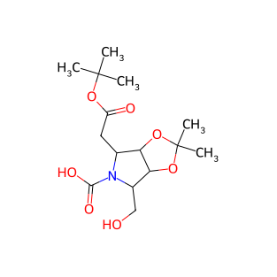 CC(C)(C)OC(=O)CC1C2OC(C)(C)OC2C(CO)N1C(=O)O